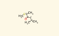 CSC(C)C(=O)CC(C)C